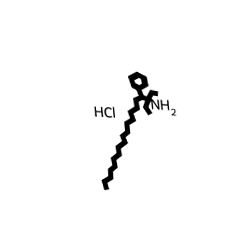 CCCCCCCCCCCCCCCCC(c1ccccc1)C(N)(CC)CC.Cl